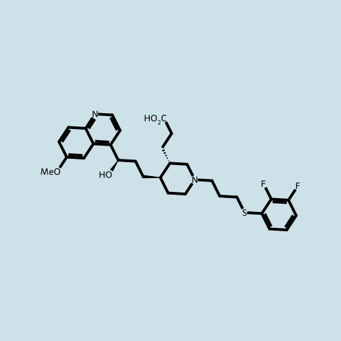 COc1ccc2nccc([C@H](O)CC[C@@H]3CCN(CCCSc4cccc(F)c4F)C[C@H]3CCC(=O)O)c2c1